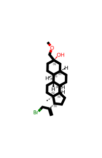 C=C(CBr)[C@H]1CC[C@H]2[C@@H]3CC[C@@H]4C[C@](O)(COC)CC[C@@H]4[C@H]3CC[C@]12C